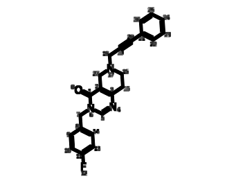 O=c1c2c(ncn1Cc1ccc(F)cc1)CCN(CC#Cc1ccccc1)C2